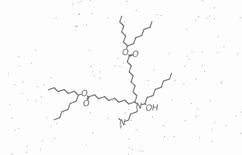 CCCCCCCC(O)N(CCCN(C)C)C(CCCCCCCCC(=O)OC(CCCCCC)CCCCCC)CCCCCCCCC(=O)OC(CCCCCC)CCCCCC